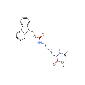 COC(=O)C(COCCNC(=O)OCC1c2ccccc2-c2ccccc21)NC(C)=O